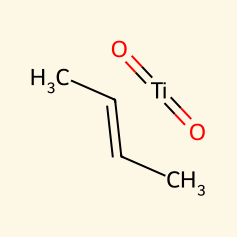 CC=CC.[O]=[Ti]=[O]